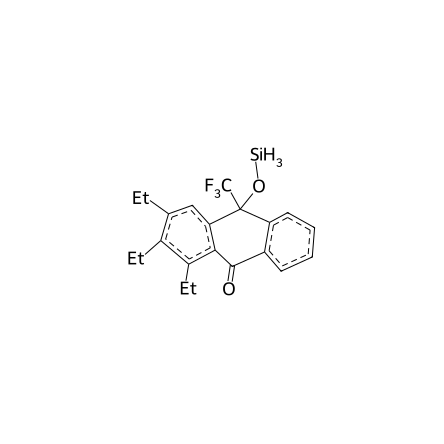 CCc1cc2c(c(CC)c1CC)C(=O)c1ccccc1C2(O[SiH3])C(F)(F)F